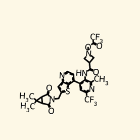 Cc1nc(C(F)(F)F)cc(-c2ccnc3cc(CN4C(=O)C5C(C4=O)C5(C)C)sc23)c1NC(=O)C1CN(OC(=O)C(F)(F)F)C1